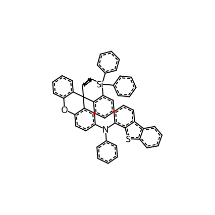 c1ccc(N(c2ccc3c(c2)C2(c4ccccc4O3)c3ccccc3[Si](c3ccccc3)(c3ccccc3)c3ccccc32)c2cccc3c2sc2ccccc23)cc1